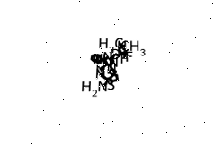 CN(C)CC1(COc2nc(N3CC4CCC(C3)N4)c(C#N)c(N3CC4(CCc5sc(N)c(C#N)c54)C3)n2)CC1(F)F